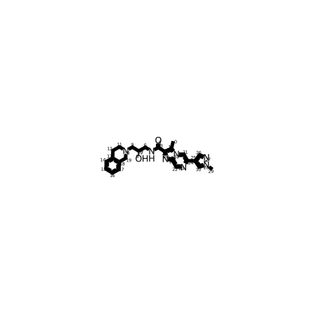 Cc1c(C(=O)NC[C@H](O)CN2CCc3ccccc3C2)nc2cnc(-c3cnn(C)c3)cn12